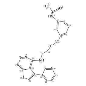 CC(=O)Nc1cccc(OCCCNc2ncnc3scc(-c4cccnc4)c23)c1